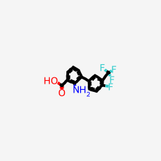 Nc1c(C(=O)O)cccc1-c1ccc(F)c(C(F)(F)F)c1